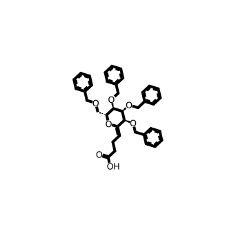 O=C(O)CCC=C1O[C@H](COCc2ccccc2)[C@@H](OCc2ccccc2)[C@@H](OCc2ccccc2)[C@H]1OCc1ccccc1